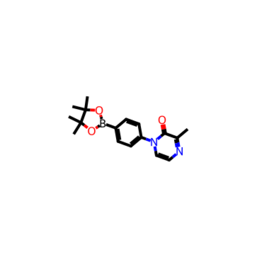 Cc1nccn(-c2ccc(B3OC(C)(C)C(C)(C)O3)cc2)c1=O